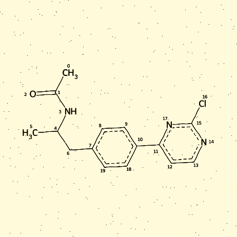 CC(=O)NC(C)Cc1ccc(-c2ccnc(Cl)n2)cc1